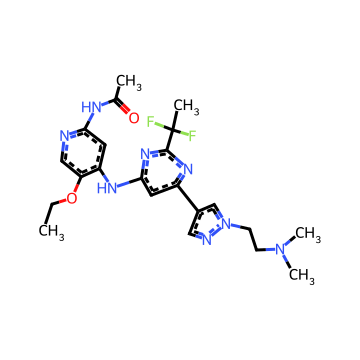 CCOc1cnc(NC(C)=O)cc1Nc1cc(-c2cnn(CCN(C)C)c2)nc(C(C)(F)F)n1